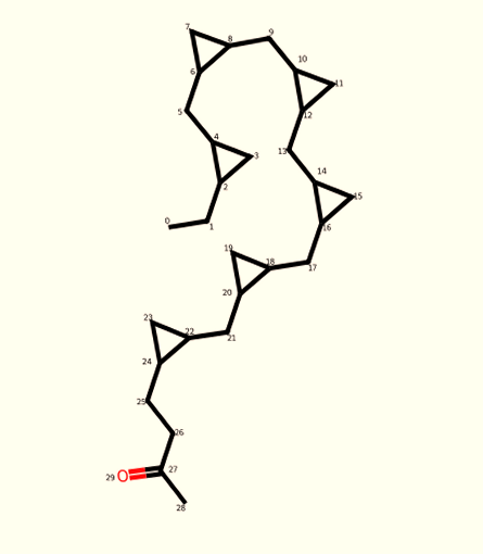 CCC1CC1CC1CC1CC1CC1CC1CC1CC1CC1CC1CC1CCC(C)=O